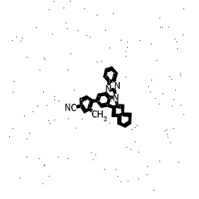 Cc1cc(C#N)ccc1-c1cc2c3cc4ccccc4cc3n3c2c(c1)n1c2ccccc2nc13